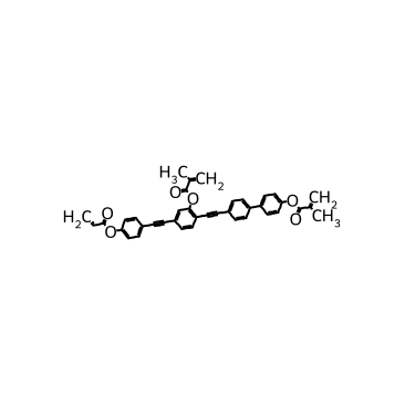 C=CC(=O)Oc1ccc(C#Cc2ccc(C#Cc3ccc(-c4ccc(OC(=O)C(=C)C)cc4)cc3)c(OC(=O)C(=C)C)c2)cc1